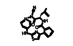 C=C(C)C[C@H](NC(=O)c1ccccc1-c1csc(Nc2ccncc2)n1)C(=O)N(C)C#N